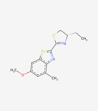 CC[C@H]1CSC(c2nc3c(C)cc(OC)cc3s2)=N1